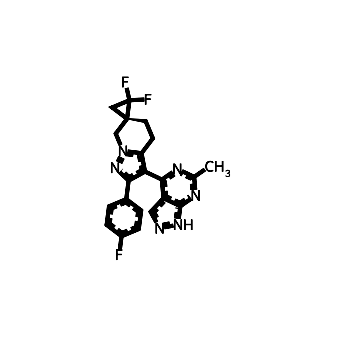 Cc1nc(-c2c(-c3ccc(F)cc3)nn3c2CC[C@@]2(C3)CC2(F)F)c2cn[nH]c2n1